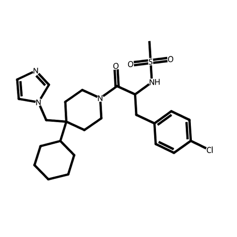 CS(=O)(=O)NC(Cc1ccc(Cl)cc1)C(=O)N1CCC(Cn2ccnc2)(C2CCCCC2)CC1